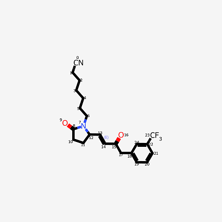 N#CCCCCCCN1C(=O)CCC1/C=C/C(=O)Cc1cccc(C(F)(F)F)c1